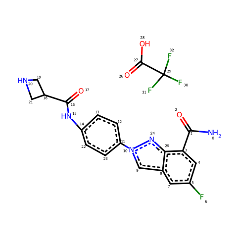 NC(=O)c1cc(F)cc2cn(-c3ccc(NC(=O)C4CNC4)cc3)nc12.O=C(O)C(F)(F)F